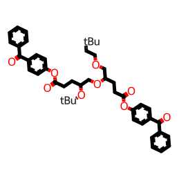 CC(C)(C)CCOCC(CCC(=O)Oc1ccc(C(=O)c2ccccc2)cc1)OCC(CCC(=O)Oc1ccc(C(=O)c2ccccc2)cc1)OC(C)(C)C